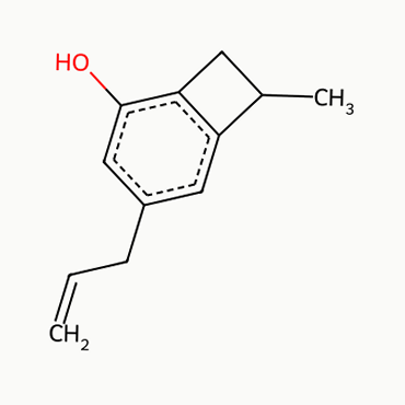 C=CCc1cc(O)c2c(c1)C(C)C2